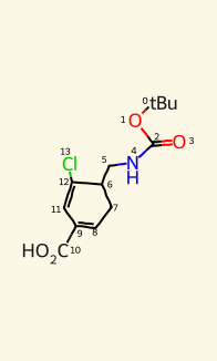 CC(C)(C)OC(=O)NCC1CC=C(C(=O)O)C=C1Cl